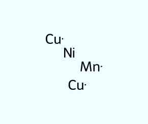 [Cu].[Cu].[Mn].[Ni]